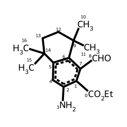 CCOC(=O)c1c(N)cc2c(c1C=O)C(C)(C)CCC2(C)C